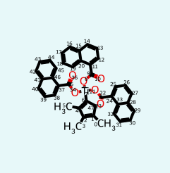 CC1=C(C)C(C)=[C]([Ti]([O]C(=O)c2cccc3ccccc23)([O]C(=O)c2cccc3ccccc23)[O]C(=O)c2cccc3ccccc23)C1